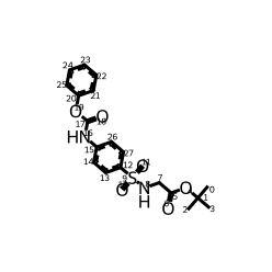 CC(C)(C)OC(=O)CNS(=O)(=O)c1ccc(NC(=O)Oc2ccccc2)cc1